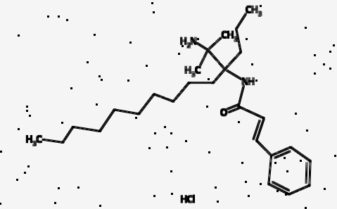 CCCCCCCCCCC(CCC)(NC(=O)C=Cc1ccccc1)C(C)(C)N.Cl